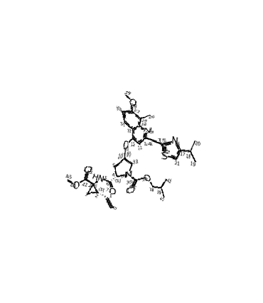 C=C[C@@H]1C[C@]1(NC(=O)[C@@H]1C[C@@H](Oc2cc(-c3nc(C(C)C)cs3)nc3c(C)c(OC)ccc23)CN1C(=O)OCC(C)C)C(=O)OC